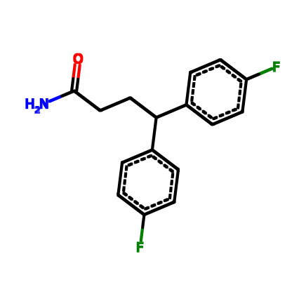 NC(=O)CCC(c1ccc(F)cc1)c1ccc(F)cc1